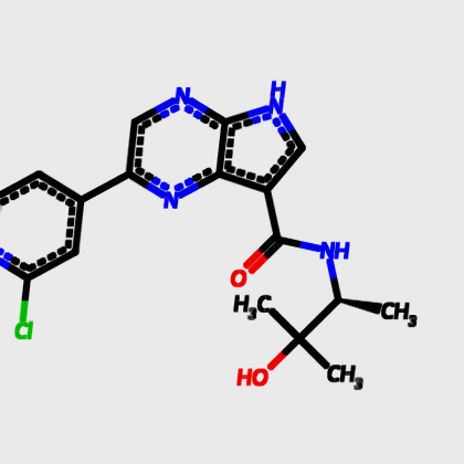 C[C@H](NC(=O)c1c[nH]c2ncc(-c3ccnc(Cl)c3)nc12)C(C)(C)O